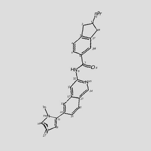 CCCC1Cc2ccc(C(=O)Nc3cc4cc(-c5cncn5C)ccc4cn3)cc2C1